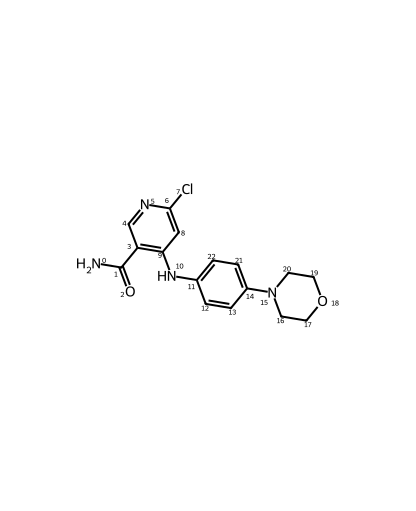 NC(=O)c1cnc(Cl)cc1Nc1ccc(N2CCOCC2)cc1